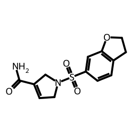 NC(=O)C1=CCN(S(=O)(=O)c2ccc3c(c2)OCC3)C1